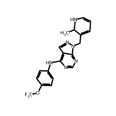 CC1NC=CC=C1Cn1ncc2c(Nc3ccc(OC(F)(F)F)cc3)ncnc21